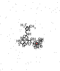 Cc1cc(CNC(=O)COC2[C@@H](O)[C@@H](COP(=O)(O)OP(=O)(O)OP(=O)(O)O)O[C@H]2n2cnc3c(=S)[nH]c(N)nc32)nn1C